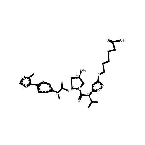 Cc1ncsc1-c1ccc([C@H](C)C(=O)N[C@@H]2C[C@@H](O)CN2C(=O)[C@@H](c2cc(OCCCCCC(=O)O)no2)C(C)C)cc1